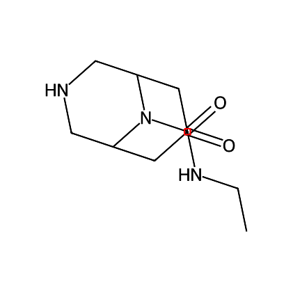 CCNC(=O)N1C2CNCC1CC(=O)C2